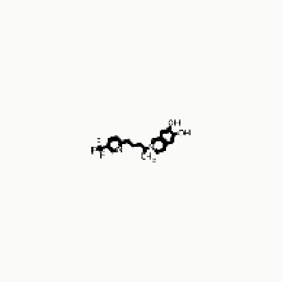 C=C(CCCc1ccc(C(F)(F)F)cn1)N1CCc2cc(O)c(O)cc2C1